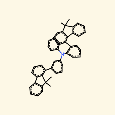 CC1(C)c2ccccc2-c2c(-c3ccccc3N(c3ccccc3)c3cccc(-c4cccc5c4C(C)(C)c4ccccc4-5)c3)cccc21